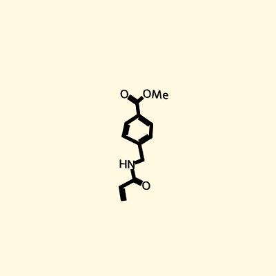 C=CC(=O)NCc1ccc(C(=O)OC)cc1